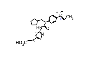 C/C=C(\C)c1ccc(N(CC2CCCC2)C(=O)Nc2ncc(SCC(=O)O)s2)cc1